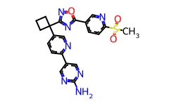 CS(=O)(=O)c1ccc(-c2nc(C3(c4ccc(-c5cnc(N)nc5)nc4)CCC3)no2)cn1